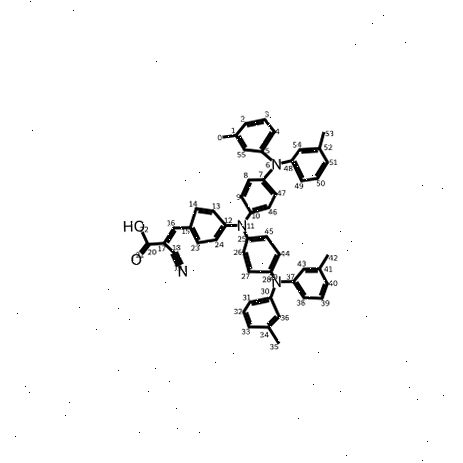 Cc1cccc(N(c2ccc(N(c3ccc(/C=C(\C#N)C(=O)O)cc3)c3ccc(N(c4cccc(C)c4)c4cccc(C)c4)cc3)cc2)c2cccc(C)c2)c1